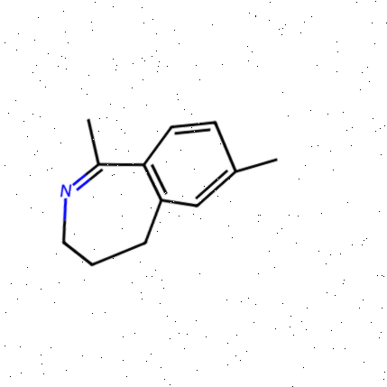 CC1=NCCCc2cc(C)ccc21